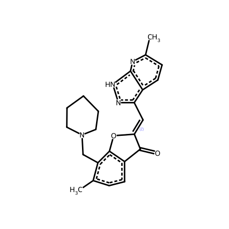 Cc1ccc2c(/C=C3\Oc4c(ccc(C)c4CN4CCCCC4)C3=O)n[nH]c2n1